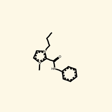 CCC[n+]1ccn(C)c1C(=O)Nc1ccccc1